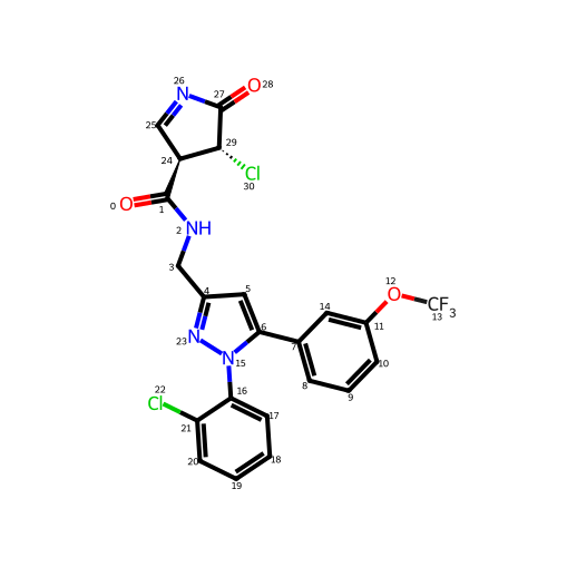 O=C(NCc1cc(-c2cccc(OC(F)(F)F)c2)n(-c2ccccc2Cl)n1)[C@H]1C=NC(=O)[C@@H]1Cl